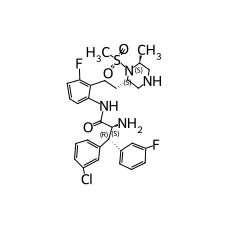 C[C@H]1CNC[C@H](CCc2c(F)cccc2NC(=O)[C@@H](N)[C@H](c2cccc(F)c2)c2cccc(Cl)c2)N1S(C)(=O)=O